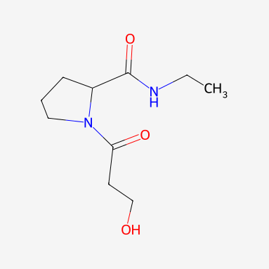 CCNC(=O)C1CCCN1C(=O)CCO